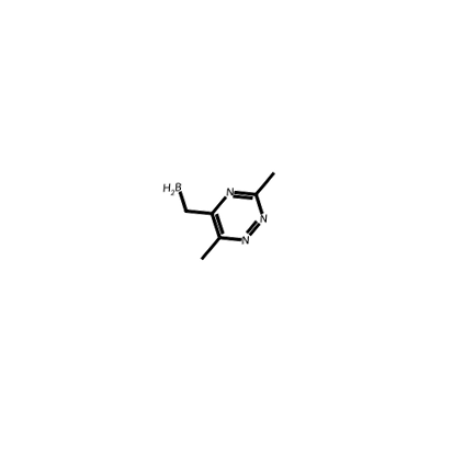 BCc1nc(C)nnc1C